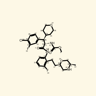 COC(=O)N[C@H](C(=O)Nc1cccc(F)c1CC[C@@H]1CN[C@H](C)CO1)[C@@H](c1ccc(Cl)c(F)c1)C1CCOCC1